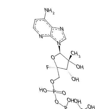 C[C@]1(O)[C@H](n2cnc3c(N)ccnc32)O[C@](F)(COP(=O)(O)OP(=O)(O)OP(=O)(O)O)[C@H]1O